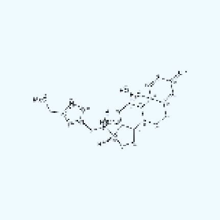 COCc1cn(CC(=O)[C@@]2(O)CCC3C4CCC5=CC(=O)C=CC5(C)C4[C@@H](O)CC32C)nn1